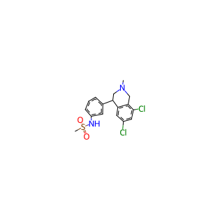 CN1Cc2c(Cl)cc(Cl)cc2C(c2cccc(NS(C)(=O)=O)c2)C1